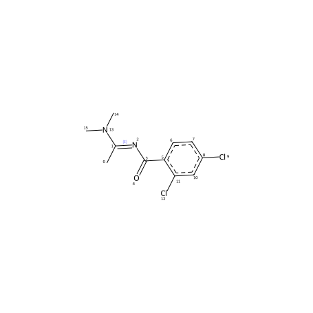 C/C(=N\C(=O)c1ccc(Cl)cc1Cl)N(C)C